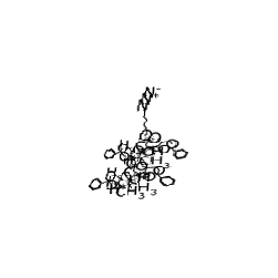 CC1[C@H](O[C@@H]2C(C)[C@H](O[C@@H]3C(C)[C@H](O[C@@H]4C(C)[C@H](OCCCCCN=[N+]=[N-])OC5COC(c6ccccc6)O[C@H]54)OC4COC(c5ccccc5)O[C@H]43)OC3COC(c4ccccc4)O[C@H]32)OC2COC(c3ccccc3)O[C@H]2[C@@H]1C